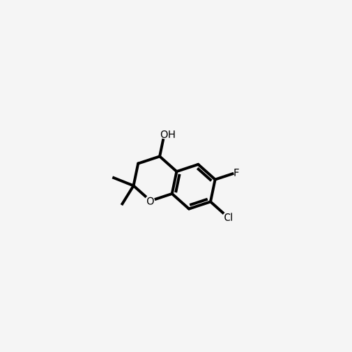 CC1(C)CC(O)c2cc(F)c(Cl)cc2O1